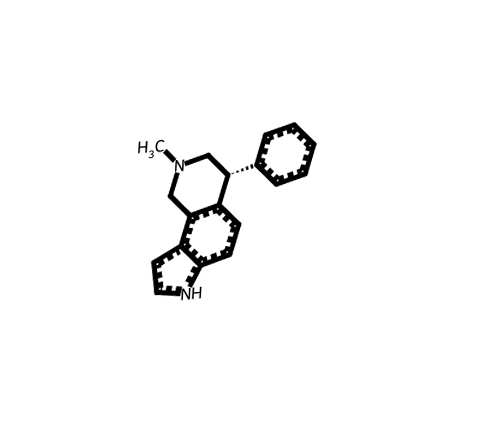 CN1Cc2c(ccc3[nH]ccc23)[C@@H](c2ccccc2)C1